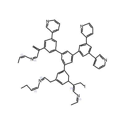 C=C(/C=N\C=C/C)c1cc(-c2cccnc2)cc(-c2cc(C3=CC(C/C=N\C=C/CC)=CC(/C(=C/N=C\C)CI)C3)cc(-c3cc(-c4cccnc4)cc(-c4cccnc4)c3)c2)c1